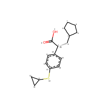 O=C(O)[C@H](CC1CCCC1)c1ccc(SC2CC2)cc1